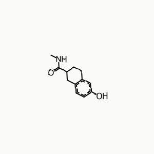 CNC(=O)C1CCc2cc(O)ccc2C1